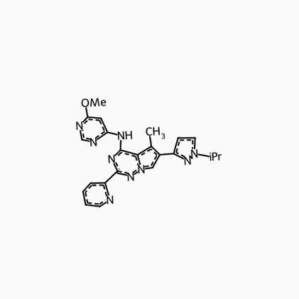 COc1cc(Nc2nc(-c3ccccn3)nn3cc(-c4ccn(C(C)C)n4)c(C)c23)ncn1